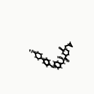 O=C(C1CCN(CC2CC2)C(=O)C1)N(O)Cc1ccc(Nc2ccc(N3CCC(C(F)(F)F)CC3)cc2)cc1